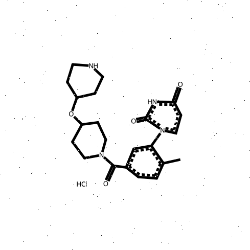 Cc1ccc(C(=O)N2CCC(OC3CCNCC3)CC2)cc1-n1ccc(=O)[nH]c1=O.Cl